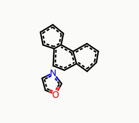 c1ccc2c(c1)ccc1ccccc12.c1cocn1